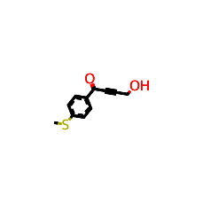 CSc1ccc(C(=O)C#CCO)cc1